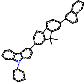 CC1(C)c2cc(-c3ccc4ccccc4c3)ccc2-c2ccc(-c3ccc4c(c3)c3ccccc3n4-c3ccccc3)cc21